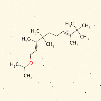 C/C(=C\CCC(C)(C)/C(C)=C/COC(C)C)C(C)(C)C